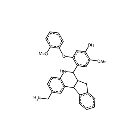 COc1cc(C2Nc3ccc(CN)cc3C3c4ccccc4CC23)c(Oc2ccccc2OC)cc1O